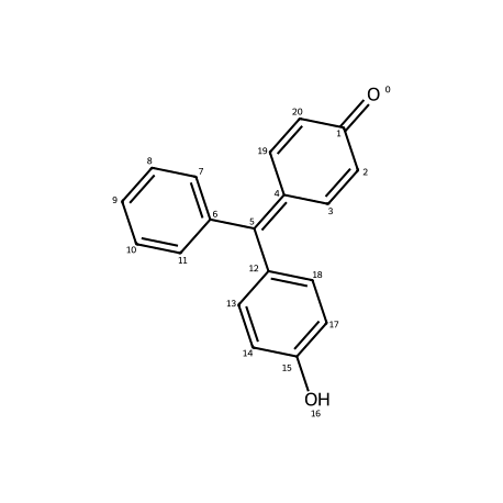 O=C1C=CC(=C(c2ccccc2)c2ccc(O)cc2)C=C1